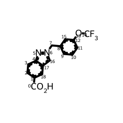 O=C(O)c1ccc2nn(Cc3cccc(OC(F)(F)F)c3)cc2c1